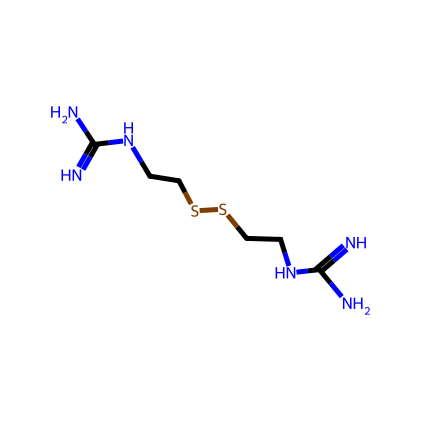 N=C(N)NCCSSCCNC(=N)N